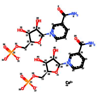 NC(=O)c1ccc[n+]([C@@H]2O[C@H](COP(=O)([O-])[O-])[C@@H](O)[C@H]2O)c1.NC(=O)c1ccc[n+]([C@@H]2O[C@H](COP(=O)([O-])[O-])[C@@H](O)[C@H]2O)c1.[Ca+2]